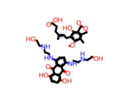 COc1c(C)c2c(c(O)c1C/C=C(\C)CCC(=O)O)C(=O)OC2.O=C1c2c(O)ccc(O)c2C(=O)c2c(NCCNCCO)ccc(NCCNCCO)c21